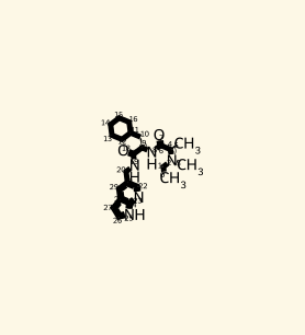 CCN(C)[C@@H](C)C(=O)N[C@@H](CC1CCCCC1)C(=O)NCc1cnc2[nH]ccc2c1